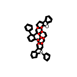 c1ccc(-c2ccccc2-c2c(-c3ccccc3)cccc2N(c2cccc(-c3cccc4c3oc3ccccc34)c2)c2ccc3c(c2)c2ccccc2n3-c2ccccc2)cc1